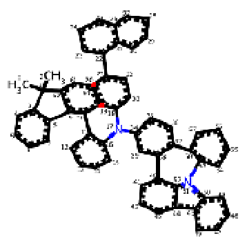 CC1(C)c2ccccc2-c2c(-c3ccccc3N(c3ccc(-c4cccc5ccccc45)cc3)c3ccc4c(c3)-c3cccc5c6ccccc6n(c35)-c3ccccc3-4)cccc21